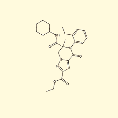 CCOC(=O)c1cc2n(n1)CC(C)(C(=O)NC1CCCCC1)N(c1ccccc1CC)C2=O